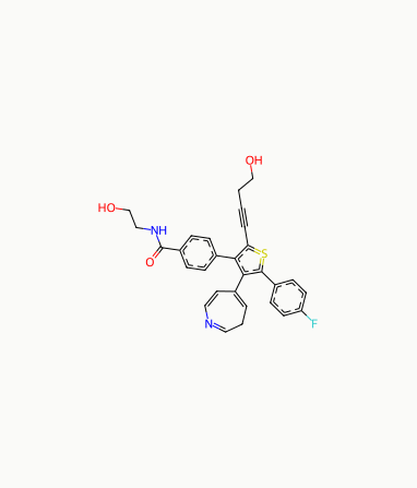 O=C(NCCO)c1ccc(-c2c(C#CCCO)sc(-c3ccc(F)cc3)c2C2=CCC=NC=C2)cc1